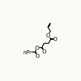 C=CCOC(=O)CCC(=O)OC(=O)CCC